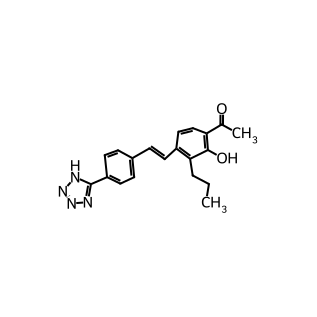 CCCc1c(/C=C/c2ccc(-c3nnn[nH]3)cc2)ccc(C(C)=O)c1O